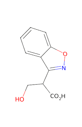 O=C(O)C(CO)c1noc2ccccc12